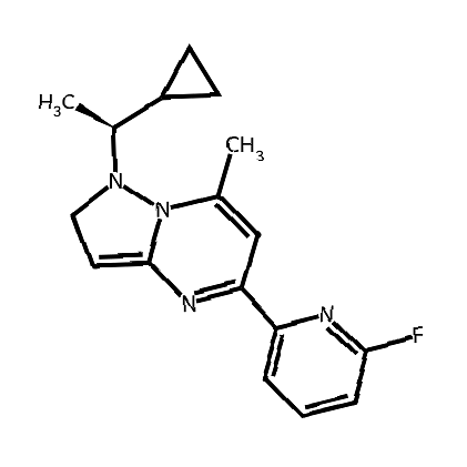 CC1=CC(c2cccc(F)n2)=NC2=CCN([C@@H](C)C3CC3)N12